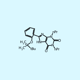 CCCn1c(=O)c2[nH]c(-c3ccccc3O[Si](C)(C)C(C)(C)C)nc2n(CCC)c1=O